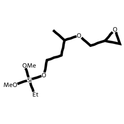 CC[Si](OC)(OC)OCCC(C)OCC1CO1